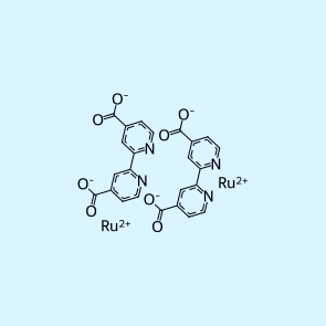 O=C([O-])c1ccnc(-c2cc(C(=O)[O-])ccn2)c1.O=C([O-])c1ccnc(-c2cc(C(=O)[O-])ccn2)c1.[Ru+2].[Ru+2]